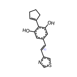 Oc1cc(/C=C/c2cscn2)cc(O)c1C1=CCCC1